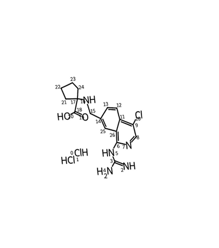 Cl.Cl.N=C(N)Nc1ncc(Cl)c2ccc(CNC3(C(=O)O)CCCC3)cc12